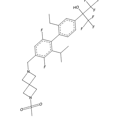 CCc1cc(C(O)(C(F)(F)F)C(F)(F)F)ccc1-c1c(F)cc(CN2CC3(C2)CN(S(C)(=O)=O)C3)c(F)c1C(C)C